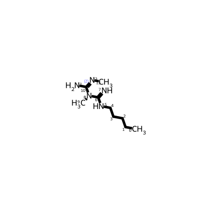 CCCCCNC(=N)N(C)/C(N)=N\C